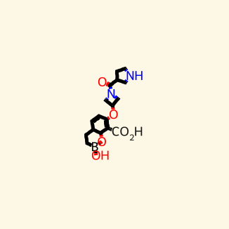 O=C(O)C1=C(OC2CN(C(=O)C3CCNC3)C2)C=CC2CCB(O)OC12